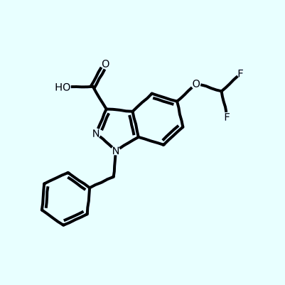 O=C(O)c1nn(Cc2ccccc2)c2ccc(OC(F)F)cc12